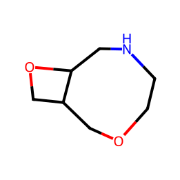 C1COCC2COC2CN1